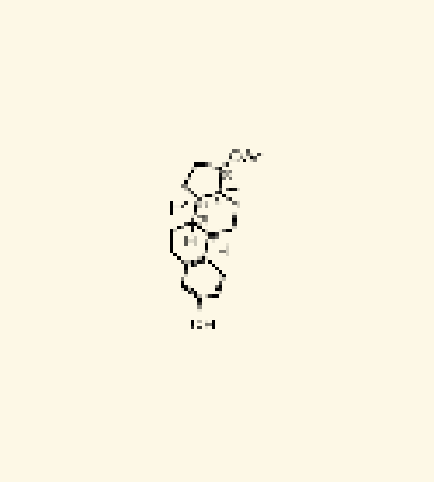 CC(=O)O[C@@H]1CC[C@@H]2[C@H]3CCc4cc(O)ccc4[C@@H]3CC[C@]21C